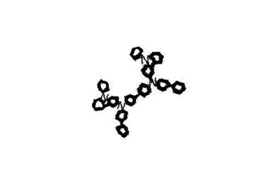 C1=CCCC(n2c3ccccc3c3cc(N(c4ccc(-c5ccccc5)cc4)c4ccc(-c5ccc(N(c6ccc(-c7ccccc7)cc6)c6ccc7c(c6)C6C=CC=CC(=C6)N7C6=CCCC=C6)cc5)cc4)ccc32)=C1